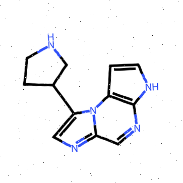 c1cc2c(ncc3ncc(C4CCNC4)n32)[nH]1